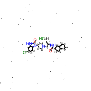 C[C@@H](CN1CCC(n2c(=O)[nH]c3cc(Cl)ccc32)CC1)NC(=O)c1ccc2ccccc2c1.Cl